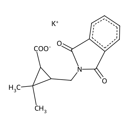 CC1(C)C(CN2C(=O)c3ccccc3C2=O)C1C(=O)[O-].[K+]